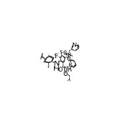 Cc1cc(I)ccc1Nc1c(C(=O)NOCC2CC2)cc(S(=O)(=O)N(Cc2cccnc2)Cc2cccnc2)c(F)c1F